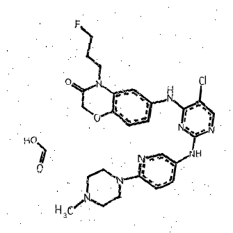 CN1CCN(c2ccc(Nc3ncc(Cl)c(Nc4ccc5c(c4)N(CCCF)C(=O)CO5)n3)cn2)CC1.O=CO